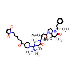 CC[C@H](C)[C@@H]([C@@H](CC(=O)N1CCC[C@H]1[C@H](OC)[C@@H](C)C(=O)N[C@@H](Cc1ccccc1)C(=O)O)OC)N(C)C(=O)[C@@H](/N=C(\N(C)C)N1CCC(C(=O)CCCCCN2C(=O)C=CC2=O)CC1)C(C)C